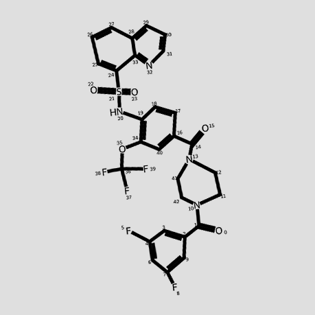 O=C(c1cc(F)cc(F)c1)N1CCN(C(=O)c2ccc(NS(=O)(=O)c3cccc4cccnc34)c(OC(F)(F)F)c2)CC1